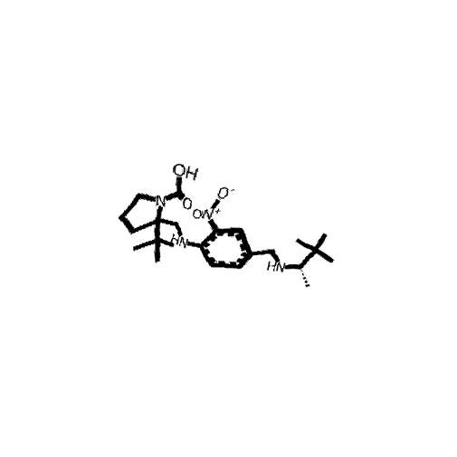 C[C@H](NCc1ccc(NCC2(C(C)(C)C)CCCN2C(=O)O)c([N+](=O)[O-])c1)C(C)(C)C